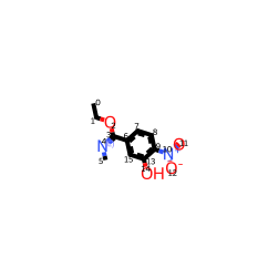 CCO/C(=N/C)c1ccc([N+](=O)[O-])c(O)c1